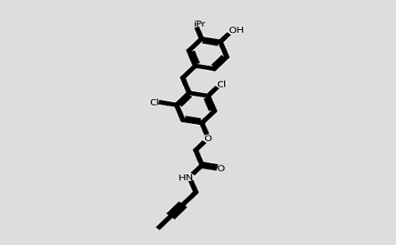 CC#CCNC(=O)COc1cc(Cl)c(Cc2ccc(O)c(C(C)C)c2)c(Cl)c1